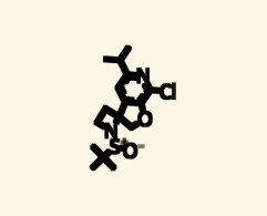 CC(C)c1cc2c(c(Cl)n1)OCC21CCN1[S+]([O-])C(C)(C)C